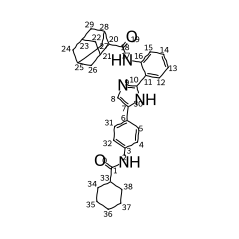 O=C(Nc1ccc(-c2cnc(-c3ccccc3NC(=O)C3C4CC5CC(C4)CC3C5)[nH]2)cc1)C1CCCCC1